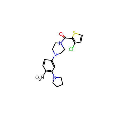 O=C(c1sccc1Cl)N1CCN(c2ccc([N+](=O)[O-])c(N3CCCC3)c2)CC1